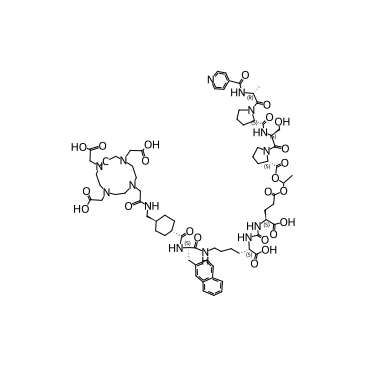 CC(OC(=O)CC[C@H](NC(=O)N[C@@H](CCCCNC(=O)[C@H](Cc1ccc2ccccc2c1)NC(=O)[C@H]1CC[C@H](CNC(=O)CN2CCN(CC(=O)O)CCN(CC(=O)O)CCN(CC(=O)O)CC2)CC1)C(=O)O)C(=O)O)OC(=O)[C@@H]1CCCN1C(=O)[C@H](CO)NC(=O)[C@@H]1CCCN1C(=O)[C@@H](C)NC(=O)c1ccncc1